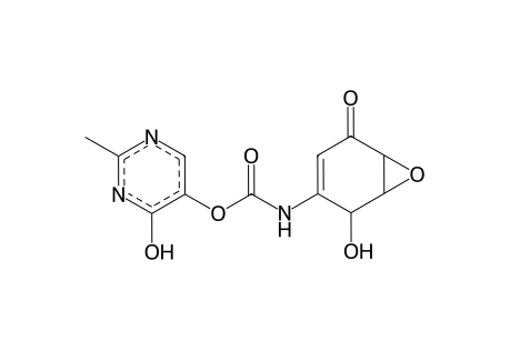 Cc1ncc(OC(=O)NC2=CC(=O)C3OC3C2O)c(O)n1